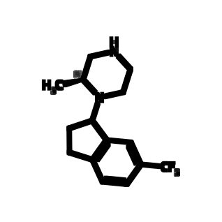 C[C@H]1CNCCN1C1CCc2ccc(C(F)(F)F)cc21